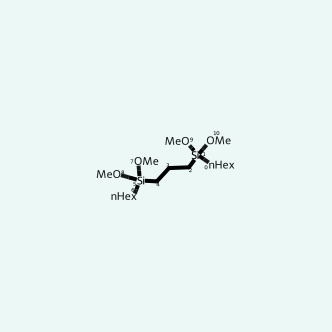 CCCCCC[Si](CCC[Si](CCCCCC)(OC)OC)(OC)OC